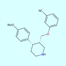 COc1ccc([C@H]2CCNC[C@H]2COc2cccc(C#N)c2)cc1